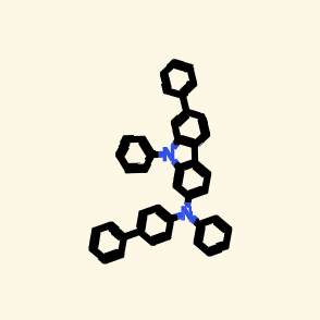 c1ccc(-c2ccc(N(c3ccccc3)c3ccc4c5ccc(-c6ccccc6)cc5n(-c5ccccc5)c4c3)cc2)cc1